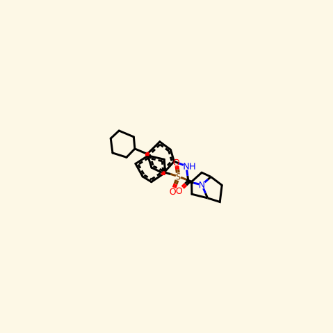 O=C(Nc1ccc(C2CCCCC2)cc1)N1C2CCC1CC(S(=O)(=O)c1ccccc1)C2